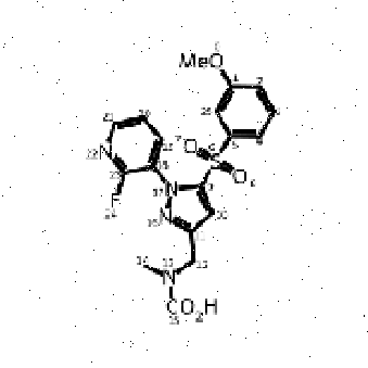 COc1cccc(S(=O)(=O)c2cc(CN(C)C(=O)O)nn2-c2cccnc2F)c1